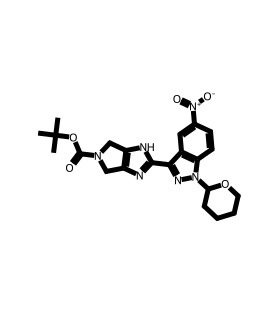 CC(C)(C)OC(=O)N1Cc2nc(-c3nn(C4CCCCO4)c4ccc([N+](=O)[O-])cc34)[nH]c2C1